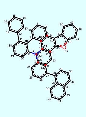 c1ccc(-c2ccccc2-c2c(-c3ccccc3)cccc2N(c2cccc(-c3cccc4ccccc34)c2)c2ccc3c(c2)oc2ccccc23)cc1